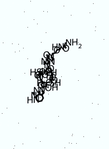 NCC(=O)NCOCCn1cnc2c(ncn2[C@@H]2O[C@@H]3COP(=O)(S)OC4[C@@H](O)[C@H](n5cc6c7c(ncnc75)NCCC6)O[C@@H]4COP(=O)(S)O[C@@H]2[C@@H]3O)c1=O